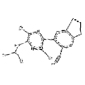 C#Cc1cc2c(cc1-c1nc(CC)c(NC(CC)CC)nc1CC)CCC2